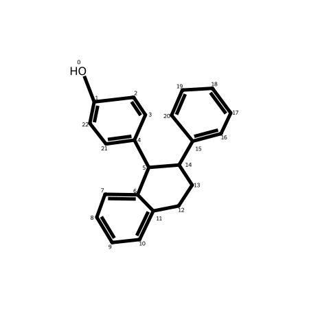 Oc1ccc(C2c3ccccc3CCC2c2ccccc2)cc1